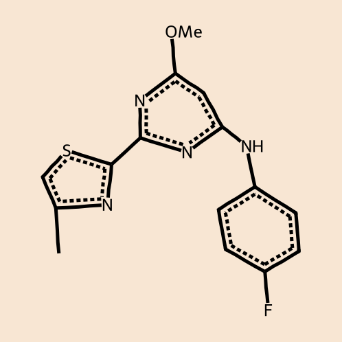 COc1cc(Nc2ccc(F)cc2)nc(-c2nc(C)cs2)n1